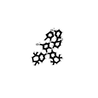 Cc1ccccc1N1c2cc(C(C)(C)C)cc3c2B(c2cc4c(cc2N3c2ccc3c(c2)C(C)(C)CCC3(C)C)C(C)(C)CCC4(C)C)c2ccc3oc4ccc(C(C)(C)C)cc4c3c21